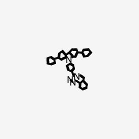 c1ccc(-c2ccc3c4ccc(-c5ccccc5)cc4n(-c4ccc(-c5nnc6c7ccccc7ccn56)cc4)c3c2)cc1